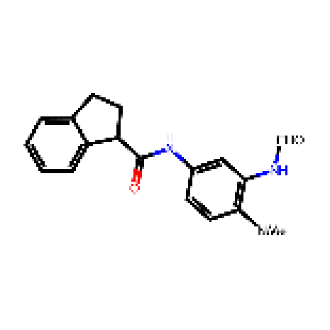 CNc1ccc(NC(=O)C2CCc3ccccc32)cc1NC=O